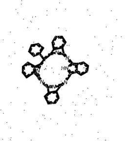 c1ccc(-c2c3nc(nc4[nH]c(nc5nc(nc6[nH]c2c2ccccc62)-c2ccccc2-5)c2ccccc42)-c2ccccc2-3)cc1